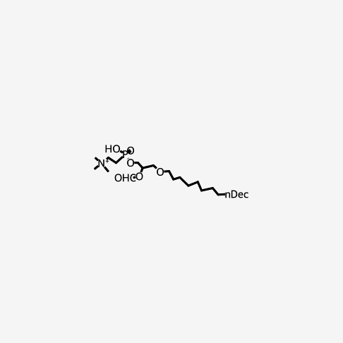 CCCCCCCCCCCCCCCCCCOCC(COP(=O)(O)CC[N+](C)(C)C)OC=O